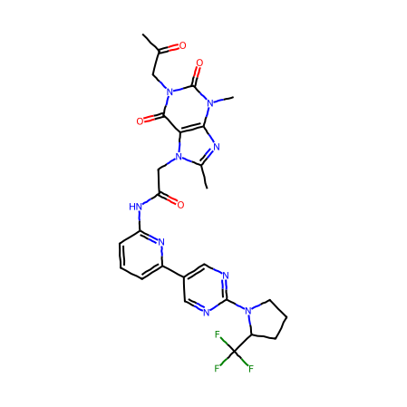 CC(=O)Cn1c(=O)c2c(nc(C)n2CC(=O)Nc2cccc(-c3cnc(N4CCCC4C(F)(F)F)nc3)n2)n(C)c1=O